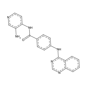 Nc1cnccc1NC(=O)c1ccc(Nc2ncnc3ccccc23)cc1